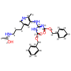 CB(O)NCCCc1cnc(C)c(N/C(=N/C(=O)OCc2ccccc2)NC(=O)OCc2ccccc2)c1